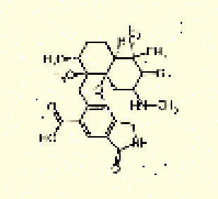 CNC1C[C@@]23Oc4c(c(C(=O)O)cc5c4CNC5=O)C[C@]2(C)[C@@H](C)CC[C@H]3C(C)(C)C1=O